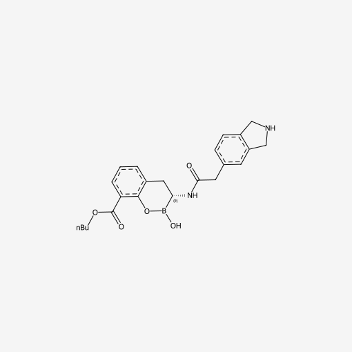 CCCCOC(=O)c1cccc2c1OB(O)[C@@H](NC(=O)Cc1ccc3c(c1)CNC3)C2